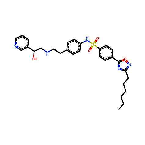 CCCCCCc1noc(-c2ccc(S(=O)(=O)Nc3ccc(CCNCC(O)c4cccnc4)cc3)cc2)n1